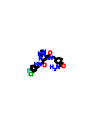 CC1(C(N)=O)CC=C(CNC(=O)c2cc(C(=O)NCc3ccc(F)c(Cl)c3)nc3ncnn23)CC1